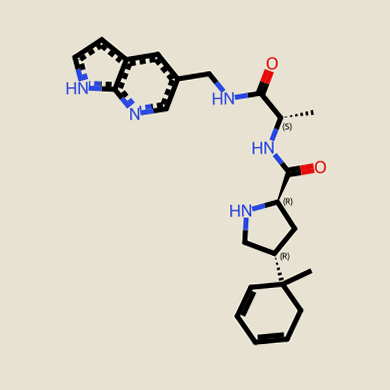 C[C@H](NC(=O)[C@H]1C[C@H](C2(C)C=CC=CC2)CN1)C(=O)NCc1cnc2[nH]ccc2c1